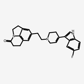 O=C1CCc2cc(CCN3CC=C(c4c[nH]c5ccc(F)cc45)CC3)cc3c2N1CC3